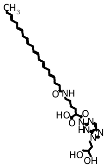 CCC=CCC=CCC=CCC=CCC=CCC=CCCC(=O)NCCCCC(C(=O)O)C(=O)Nc1ncc2ncn(CCC(CO)CO)c2n1